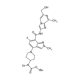 CCN(C(=O)OC(C)(C)C)C1CCN(c2cc(F)c(C(=O)Nc3cn4cc(CO)nc(C)c4n3)c3nn(C)cc23)CC1